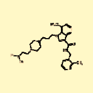 COc1cccc2c(C(=O)NCc3ccccc3C)cn(CCCN3CCN(CCN(C(C)C)C(C)C)CC3)c12